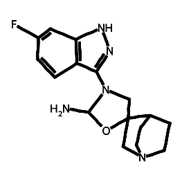 NC1OC2(CN3CCC2CC3)CN1c1n[nH]c2cc(F)ccc12